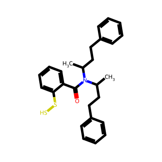 CC(CCc1ccccc1)N(C(=O)c1ccccc1SS)C(C)CCc1ccccc1